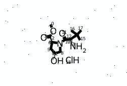 COC(=O)[C@@H]1C[C@@H](O)CN1C(=O)[C@@H](N)C(C)(C)C.Cl